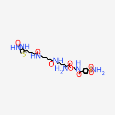 NC(CCCCNC(=O)CCCCCNC(=O)CCCC[C@H]1SCC2NC(=O)NC21)C(=O)OCCNC(=O)c1ccc(S(N)(=O)=O)cc1